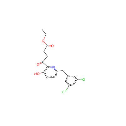 CCOC(=O)CCC(=O)c1nc(Cc2cc(Cl)cc(Cl)c2)ccc1O